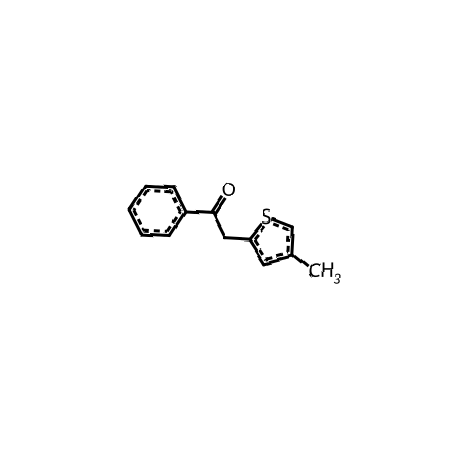 Cc1csc(CC(=O)c2ccccc2)c1